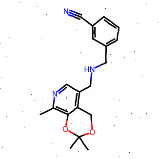 Cc1ncc(CNCc2cccc(C#N)c2)c2c1OC(C)(C)OC2